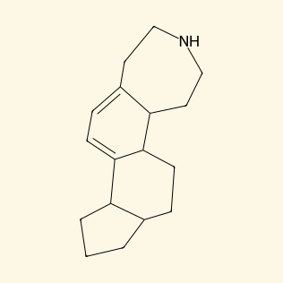 C1=C2CCNCCC2C2CCC3CCCC3C2=C1